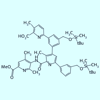 COC(=O)c1cc(C)c(NC(=O)c2nc(-c3cccc(CO[Si](C)(C)C(C)(C)C)c3)cc(-c3cc(CO[Si](C)(C)C(C)(C)C)cc(-c4ccc(C)c(C(=O)O)n4)c3)c2C)c(C)n1